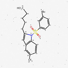 CC(C)(C)c1cccc(S(=O)(=O)n2c(CCCCC(=O)O)cc3cc(C(F)(F)F)ccc32)c1